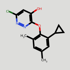 Cc1cc(C)c(Oc2nnc(Cl)cc2O)c(C2CC2)c1